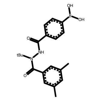 Cc1cc(C)cc(C(=O)N(NC(=O)c2ccc(B(O)O)cc2)C(C)(C)C)c1